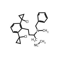 CC#N.CC(CCc1c(C2(Cl)CC2)cccc1C1(Cl)CC1)N(C)Cc1ccccc1